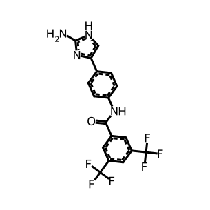 Nc1nc(-c2ccc(NC(=O)c3cc(C(F)(F)F)cc(C(F)(F)F)c3)cc2)c[nH]1